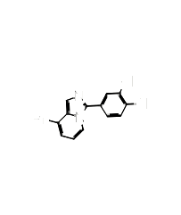 Clc1ccc(-c2ncc3c(Br)cccn23)cc1Cl